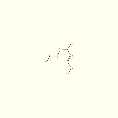 [CH2]C(C=CCC)CCCC